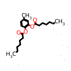 CCCCCCC(=O)Oc1ccc(C)cc1OC(=O)CCCCCC